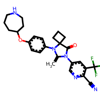 C=C1N(c2cnc(C#N)c(C(F)(F)F)c2)C(=O)C2(CCC2)N1c1ccc(OC2CCCNCC2)cc1